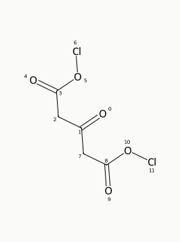 O=C(CC(=O)OCl)CC(=O)OCl